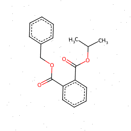 CC(C)OC(=O)c1ccccc1C(=O)OCc1ccccc1